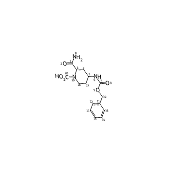 NC(=O)C1CC(NC(=O)OCc2ccccc2)CCN1C(=O)O